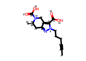 CC#CCCCn1nc2c(c1C(=O)O)CN(C(=O)O)[C@H](C)C2